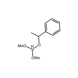 CO[SiH](OC)OC(C)c1ccccc1